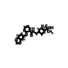 CC(C)(O)c1ccc(CNC(=O)c2cncnc2Oc2ccc3c(c2)OCO3)cc1